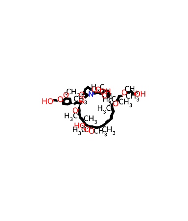 CO[C@@H]1C[C@H](C[C@@H](C)[C@@H]2CC(=O)[C@H](C)/C=C(\C)[C@@H](O)[C@@H](OC)C(=O)[C@H](C)C[C@H](C)/C=C/C=C/C=C(\C)[C@H](OC(C)(C)CCOC(C)(C)CCO)C[C@@H]3CC[C@@H](C)[C@@](O)(O3)C(=O)C(=O)N3CCCC[C@H]3C(=O)O2)CC[C@H]1OCCO